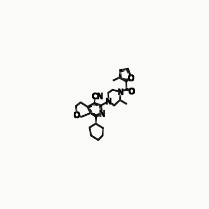 Cc1ccoc1C(=O)N1CCN(c2nc(C3CCCCC3)c3c(c2C#N)CCOC3)CC1C